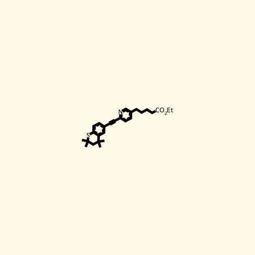 CCOC(=O)CCCCc1ccc(C#Cc2ccc3c(c2)C(C)(C)CC(C)(C)S3)nc1